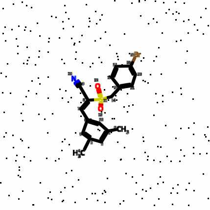 Cc1cc(C)cc(C=C(C#N)S(=O)(=O)Cc2ccc(Br)cc2)c1